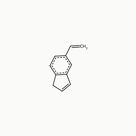 C=Cc1c[c]c2c(c1)C=CC2